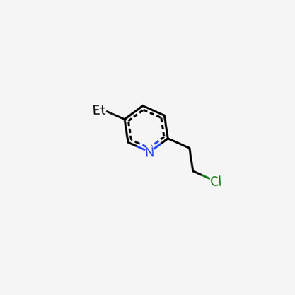 CCc1ccc(CCCl)nc1